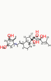 C=C1/C(=C\C=C2CCC[C@@]3(C)C2CC[C@]3(O)[C@@](C)(O)CC(O)CC(C)C)C[C@@H](O)C[C@H]1O